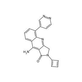 Nc1c2c(nc3c(-c4ccnnc4)cccc13)CN(C1=CC=C1)C2=O